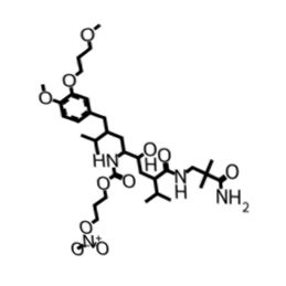 COCCCOc1cc(CC(CC(NC(=O)OCCCO[N+](=O)[O-])C(O)CC(C(=O)NCC(C)(C)C(N)=O)C(C)C)C(C)C)ccc1OC